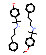 CC(C)(NCCCc1ccccc1)c1ccc(O)cc1.COc1ccc(C(C)(C)NCCCc2ccccc2)cc1